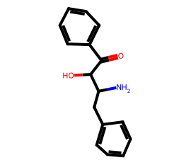 NC(Cc1ccccc1)C(O)C(=O)c1ccccc1